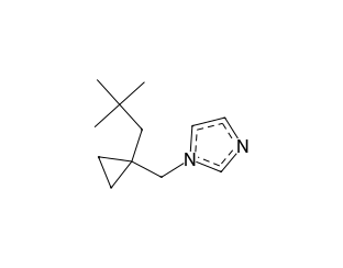 CC(C)(C)CC1(Cn2ccnc2)CC1